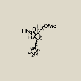 COCCNc1ncc(C#Cc2cccnc2)cc1C(=O)NO